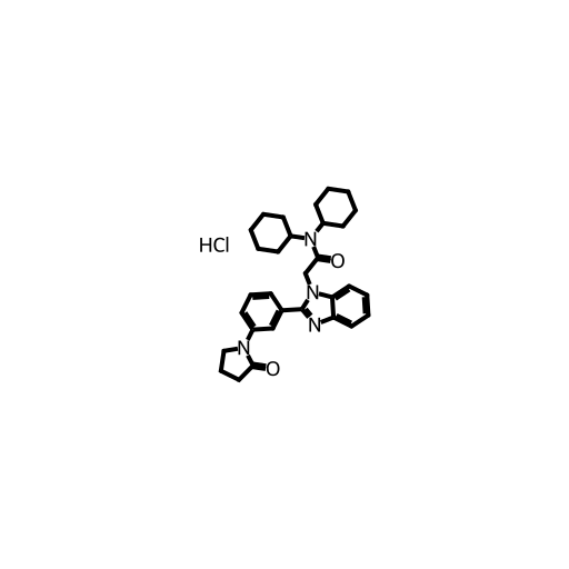 Cl.O=C1CCCN1c1cccc(-c2nc3ccccc3n2CC(=O)N(C2CCCCC2)C2CCCCC2)c1